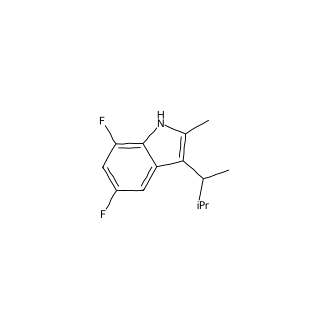 Cc1[nH]c2c(F)cc(F)cc2c1C(C)C(C)C